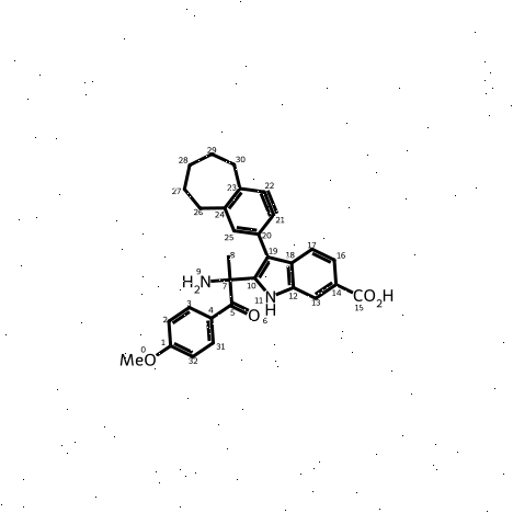 COc1ccc(C(=O)C(C)(N)c2[nH]c3cc(C(=O)O)ccc3c2-c2c#cc3c(c2)CCCCC3)cc1